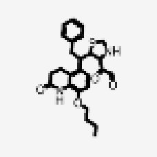 CCCCOc1ccc(C(Cc2ccccc2)C2SCNC2C(=O)C=O)c2c1NC(=O)CC2